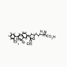 Cl.N[C@@H](CCCCC1CN(c2ccc3cc(-c4ccccc4C(F)(F)F)[nH]c(=O)c3c2)C(=O)O1)C(=O)O